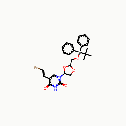 CC(C)(C)[Si](OC[C@H]1OC[C@@H](n2cc(C=CBr)c(=O)[nH]c2=O)O1)(c1ccccc1)c1ccccc1